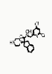 CN(Cc1cc(Cl)cc(Cl)n1)C(=O)C1(N2CCNCC2)Cc2ccccc2C1